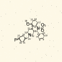 COC(=O)N(Cc1ccccc1)c1cccc(OC)c1C1CCN(Cc2ccc(F)cc2)CC1